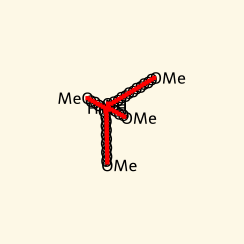 COCCOCCOCCOCCCNc1nc(C(=O)NCCOCCOCCOCCOCCOCCOCCOCCOCCOCCOCCOCCOC)c(NCCCOCCOCCOCCOC)nc1C(=O)CCCOCCOCCOCCOCCOCCOCCOCCOCCOCCOCCOCCOC